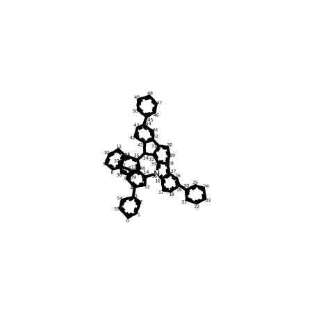 c1ccc(-c2cc(-c3ccccc3)cc(-n3c4ccc(-c5ccccc5)cc4c4ccc5c(c43)C(c3ccccc3)c3ccc(-c4ccccc4)cc3-5)c2)cc1